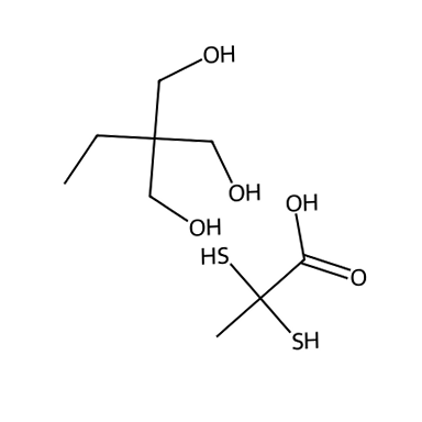 CC(S)(S)C(=O)O.CCC(CO)(CO)CO